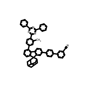 Cc1cc(-c2cccc3c2-c2ccc(-c4ccc(-c5cccc(C#N)c5)cc4)cc2C32C3CC4CC(C3)CC2C4)ccc1-c1nc(-c2ccccc2)nc(-c2ccccc2)n1